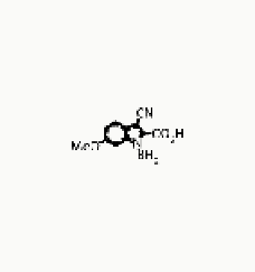 Bn1c(C(=O)O)c(C#N)c2ccc(OC)cc21